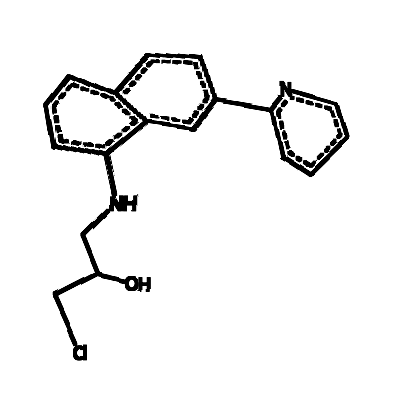 OC(CCl)CNc1cccc2ccc(-c3ccccn3)cc12